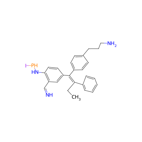 CC/C(=C(/c1ccc(CCCN)cc1)c1ccc(NPI)c(C=N)c1)c1ccccc1